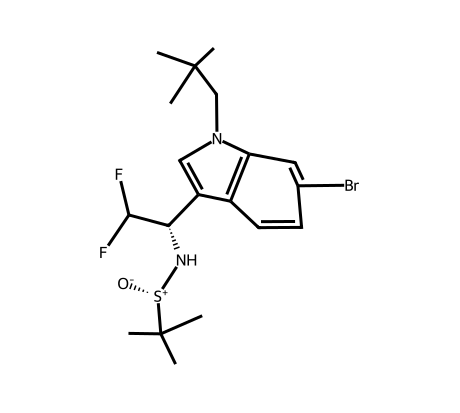 CC(C)(C)Cn1cc([C@H](N[S@@+]([O-])C(C)(C)C)C(F)F)c2ccc(Br)cc21